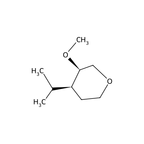 CO[C@H]1COCC[C@H]1C(C)C